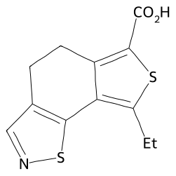 CCc1sc(C(=O)O)c2c1-c1sncc1CC2